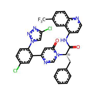 O=C(Nc1ccnc2ccc(C(F)(F)F)cc12)[C@H](Cc1ccccc1)n1cnc(-c2cc(Cl)ccc2-n2cc(Cl)nn2)cc1=O